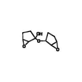 OC1(OC2CCC3OC32)CCC2OC21